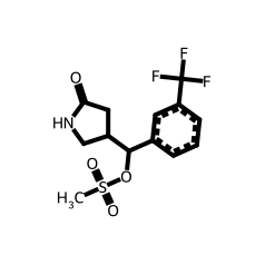 CS(=O)(=O)OC(c1cccc(C(F)(F)F)c1)C1CNC(=O)C1